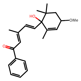 COC1C=C(C)C(O)(C=CC(C)=CC(=O)c2ccccc2)C(C)(C)C1